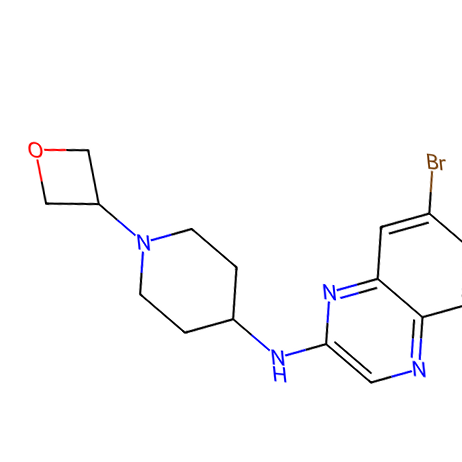 Brc1ccc2ncc(NC3CCN(C4COC4)CC3)nc2c1